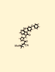 CNC(C)(C)C=C(C#N)C(=O)N1CCC[C@H]1Cn1c(=O)n(-c2ccc(Oc3ccccc3)cc2)c2c(N)ncnc21